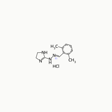 Cc1cccc(C)c1/C=N/NC1=NCCN1.Cl